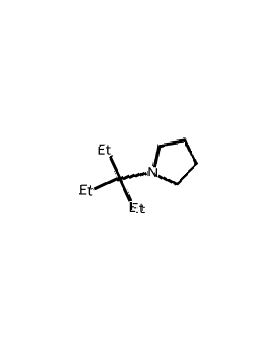 [CH2]CC(CC)(CC)N1CCCC1